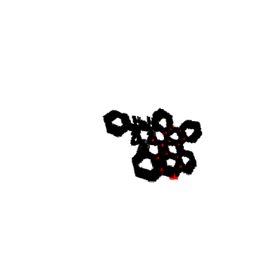 c1ccc([SiH](O[SiH](O[SiH](O[SiH](c2ccccc2)c2ccccc2)c2ccccc2)c2ccccc2)O[SiH](O[SiH](c2ccccc2)c2ccccc2)c2ccccc2)cc1